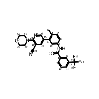 Cc1ccc(NC(=O)c2cccc(C(F)(F)F)c2)cc1-c1cnc(N2CCOCC2)c(C#N)c1